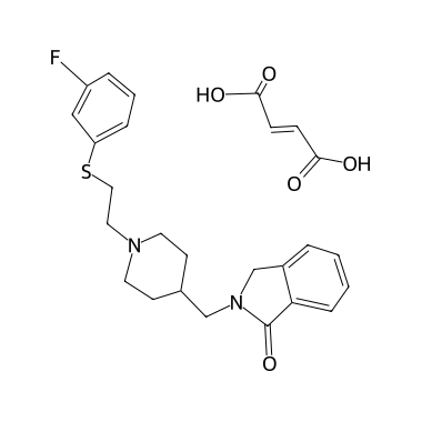 O=C(O)C=CC(=O)O.O=C1c2ccccc2CN1CC1CCN(CCSc2cccc(F)c2)CC1